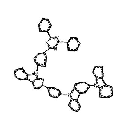 c1ccc(-c2nc(-c3ccccc3)nc(-c3ccc(-n4c5ccccc5c5ccc(-c6ccc(-n7c8ccccc8c8cc(-n9c%10ccccc%10c%10ccccc%109)ccc87)cc6)cc54)cc3)n2)cc1